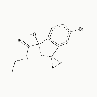 CCOC(=N)C1(O)CC2(CC2)c2cc(Br)ccc21